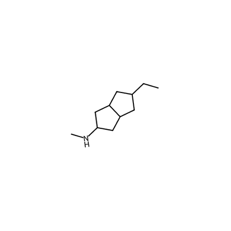 CCC1CC2CC(NC)CC2C1